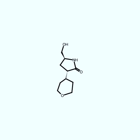 O=C1N[C@H](CO)C[C@H]1C1CCOCC1